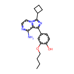 CCCCOc1cc(-c2nc(C3CCC3)n3ccnc(N)c23)ccc1O